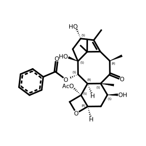 CC(=O)O[C@@]12CO[C@@H]1C[C@H](O)[C@@]1(C)C(=O)[C@H](C)C3=C(C)[C@@H](O)C[C@@](O)([C@@H](OC(=O)c4ccccc4)[C@H]21)C3(C)C